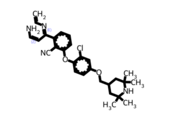 C=C/N=C(\C=C/N)c1cccc(Oc2ccc(OCC3CC(C)(C)NC(C)(C)C3)cc2Cl)c1C#N